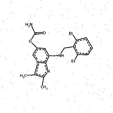 CCc1cccc(CC)c1CNc1cc(OC(N)=O)cn2c(C)c(C)nc12